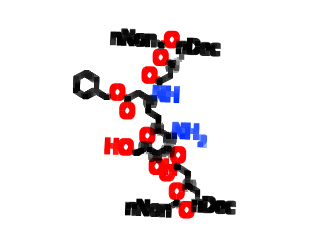 CCCCCCCCCCC[C@H](CC(=O)N[C@@H](CC[C@@H]1O[C@H](CO)[C@@H](O)[C@H](OC(=O)C[C@@H](CCCCCCCCCCC)OC(=O)CCCCCCCCC)[C@H]1N)CC(=O)OCc1ccccc1)OC(=O)CCCCCCCCC